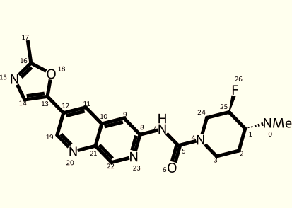 CN[C@@H]1CCN(C(=O)Nc2cc3cc(-c4cnc(C)o4)cnc3cn2)C[C@H]1F